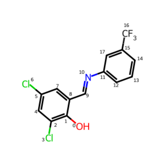 Oc1c(Cl)cc(Cl)cc1C=Nc1cccc(C(F)(F)F)c1